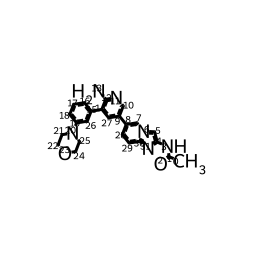 CC(=O)Nc1cn2cc(-c3cnc(N)c(-c4cccc(N5CCOCC5)c4)c3)ccc2n1